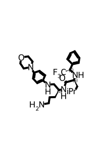 CC(C)C[C@H](N[C@@H](c1ccccc1)C(F)(F)F)C(=O)N[C@@H](CCCN)CNc1ccc(N2CCOCC2)cc1